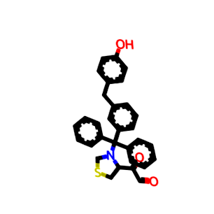 O=CC(=O)C1CSCN1C(c1ccccc1)(c1ccccc1)c1cccc(Cc2ccc(O)cc2)c1